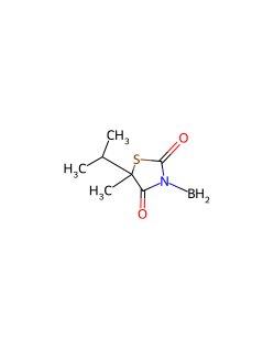 BN1C(=O)SC(C)(C(C)C)C1=O